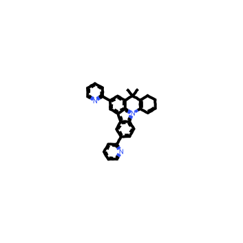 CC1(C)C2=C(C=CCC2)n2c3ccc(-c4ccccn4)cc3c3cc(-c4ccccn4)cc1c32